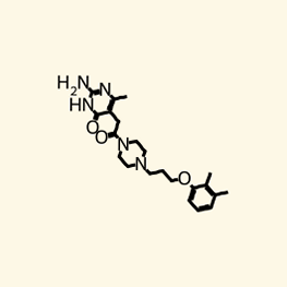 Cc1cccc(OCCCN2CCN(C(=O)Cc3c(C)nc(N)[nH]c3=O)CC2)c1C